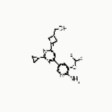 Nc1ncc(-c2cc(N3CC(CO)C3)nc(C3CC3)n2)cc1OC(F)F